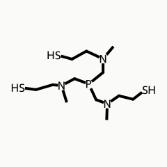 CN(CCS)CP(CN(C)CCS)CN(C)CCS